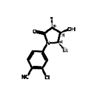 CC[C@H]1[C@H](O)[C@@H](C)C(=O)N1c1ccc(C#N)c(Cl)c1